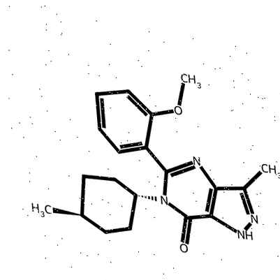 COc1ccccc1-c1nc2c(C)n[nH]c2c(=O)n1[C@H]1CC[C@H](C)CC1